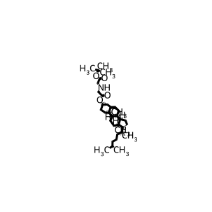 CC(C)CCC[C@@H](C)[C@H]1CC[C@H]2[C@@H]3CC=C4C[C@@H](OC(=O)CNCC(=O)OC(C)(C)C)CC[C@]4(C)[C@H]3CC[C@]12C